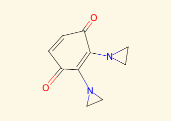 O=C1C=CC(=O)C(N2CC2)=C1N1CC1